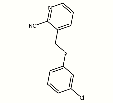 N#Cc1ncccc1CSc1cccc(Cl)c1